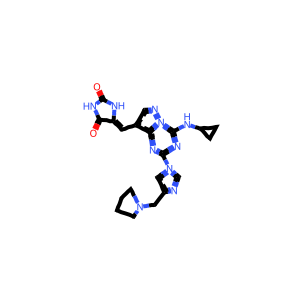 O=C1NC(=O)/C(=C/c2cnn3c(NC4CC4)nc(-n4cnc(CN5CCCC5)c4)nc23)N1